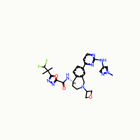 Cn1cc(Nc2nccc(-c3ccc4c(c3)CN(C3COC3)CC[C@@H]4NC(=O)c3nnc(C(C)(C)C(F)F)o3)n2)cn1